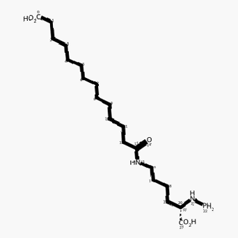 O=C(O)CCCCCCCCCCCCC(=O)NCCCC[C@H](NP)C(=O)O